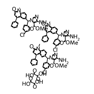 COC(=O)c1c(N)ncn1C(c1ccc(Cl)cc1)c1ccc2c(c1)c(-c1ccccc1)cc(=O)n2C.COC(=O)c1c(N)ncn1C(c1ccc(Cl)cc1)c1ccc2c(c1)c(-c1ccccc1)cc(=O)n2C.COC(=O)c1c(N)ncn1C(c1ccc(Cl)cc1)c1ccc2c(c1)c(-c1ccccc1)cc(=O)n2C.O=C(O)C(=O)O.O=C(O)C(=O)O